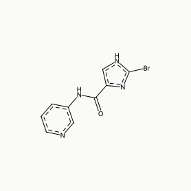 O=C(Nc1cccnc1)c1c[nH]c(Br)n1